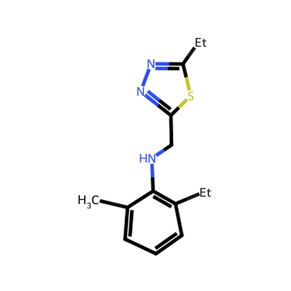 CCc1nnc(CNc2c(C)cccc2CC)s1